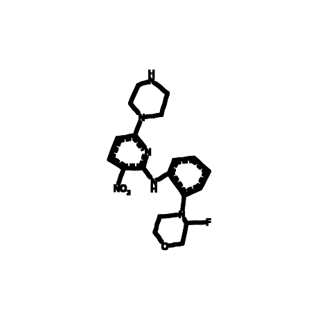 O=[N+]([O-])c1ccc(N2CCNCC2)nc1Nc1ccccc1N1CCOCC1F